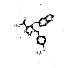 COc1ccc(Cn2nnc(C(=O)O)c2Sc2ccc3ncsc3c2)cc1